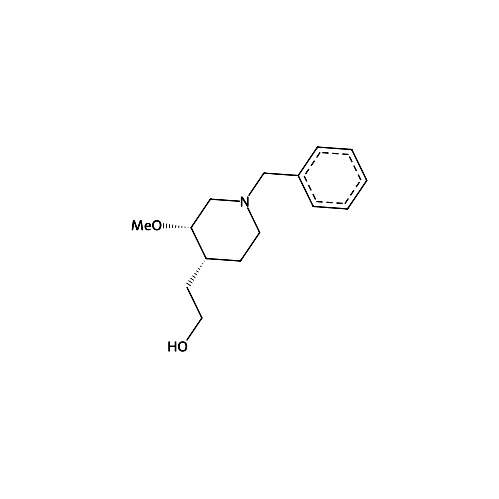 CO[C@@H]1CN(Cc2ccccc2)CC[C@@H]1CCO